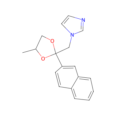 CC1COC(Cn2ccnc2)(c2ccc3ccccc3c2)O1